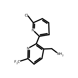 NCc1ccc(C(F)(F)F)nc1-c1cccc(Cl)n1